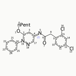 CCCCCOc1c/c(=N/C(=O)Cc2ccc(Cl)cc2Cl)cnn1-c1ccccc1